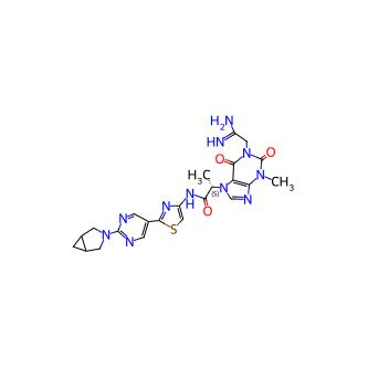 C[C@@H](C(=O)Nc1csc(-c2cnc(N3CC4CC4C3)nc2)n1)n1cnc2c1c(=O)n(CC(=N)N)c(=O)n2C